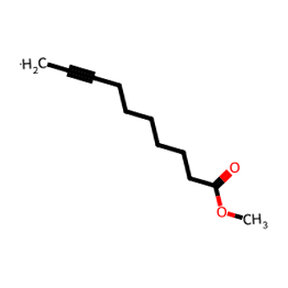 [CH2]C#CCCCCCCC(=O)OC